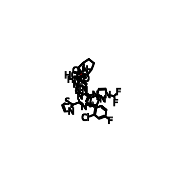 O=S(=O)(N[C@H]1CC2=C(c3ccn(C(F)F)n3)[C@H](c3ccc(F)cc3Cl)N=C(c3nccs3)N2C1)N1C2CCC1CC(O)(c1cn(-c3ccccn3)nn1)C2